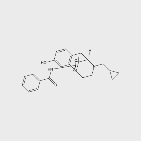 CC12OCC(NC(=O)c3ccccc3)C[C@@]13CCN(CC1CC1)[C@@H]2Cc1ccc(O)cc13